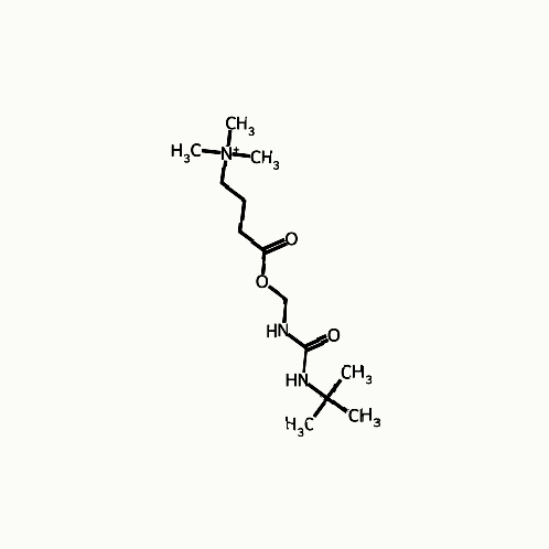 CC(C)(C)NC(=O)NCOC(=O)CCC[N+](C)(C)C